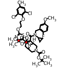 COc1ccc(F)c(CN(C(=O)C2=C(c3cnc(OCCOc4c(Cl)cc(C)cc4Cl)s3)CC3CN(C(=O)OC(C)(C)C)C[C@H]2N3C(=O)OC(C)(C)C)C2CC2)c1